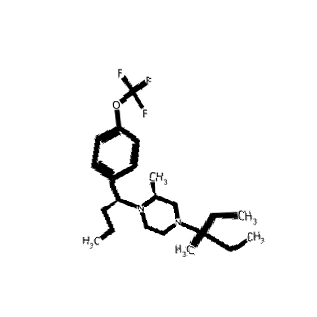 CCC[C@@H](c1ccc(OC(F)(F)F)cc1)N1CCN(C(C)(CC)CC)C[C@@H]1C